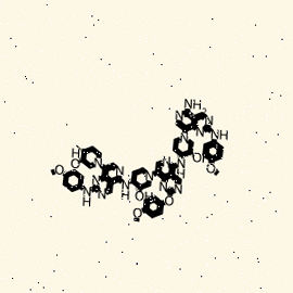 COc1ccc(Nc2ncc3c(N)ncc(N4CC[C@@H](Nc5ncc(N6CC[C@@H](Nc7ncc(N8CC[C@@H](C)[C@H](O)C8)c8nc(NC9CCC(OC)CC9)ncc78)[C@H](O)C6)c6nc(Oc7ccc(OC)cc7)ncc56)[C@H](O)C4)c3n2)cc1